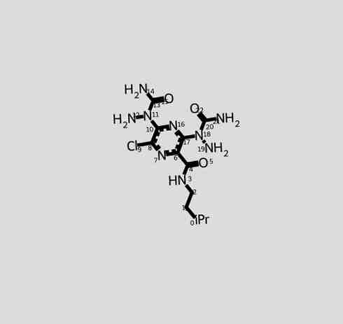 CC(C)[CH]CNC(=O)c1nc(Cl)c(N(N)C(N)=O)nc1N(N)C(N)=O